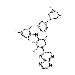 Cc1cc(C)cc(-c2ccc(N(c3c(C)cc(C)cc3C)c3c(C)c(C)c(-c4cnc5nccnc5n4)c(C)c3C)cc2)c1